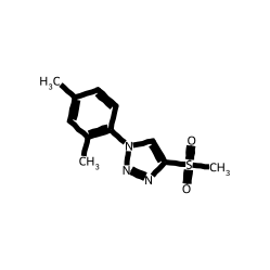 Cc1ccc(-n2cc(S(C)(=O)=O)nn2)c(C)c1